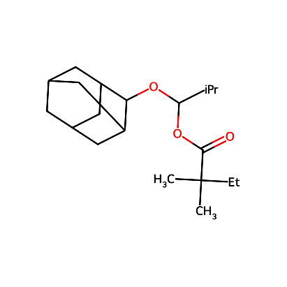 CCC(C)(C)C(=O)OC(OC1C2CC3CC(C2)CC1C3)C(C)C